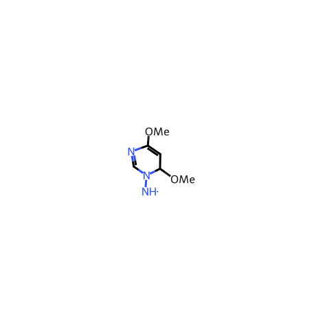 COC1=CC(OC)N([NH])C=N1